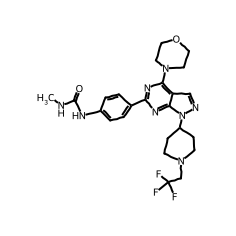 CNC(=O)Nc1ccc(-c2nc(N3CCOCC3)c3cnn(C4CCN(CC(F)(F)F)CC4)c3n2)cc1